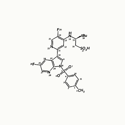 Cc1ccc(S(=O)(=O)n2cc(-c3cc(N[C@H](CS(=O)(=O)O)C(C)(C)C)c(F)cn3)c3cc(F)cnc32)cc1